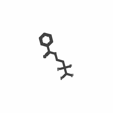 O=C(SCCC(F)(F)C(F)F)c1ccccc1